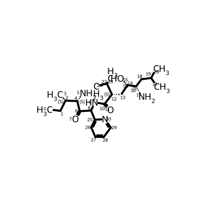 CC[C@H](C)[C@H](N)C(=O)C(NC(=O)[C@@H](C[C@H](O)[C@@H](N)CC(C)C)C(C)C)c1ccccn1